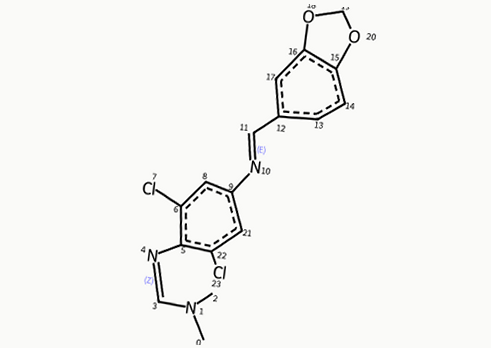 CN(C)/C=N\c1c(Cl)cc(/N=C/c2ccc3c(c2)OCO3)cc1Cl